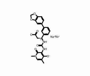 Cc1cn(C)c(=O)c(NC(=O)N[C@@H](CC(=O)[O-])c2cccc(-c3ccc4c(c3)OCO4)c2)c1[O-].[Na+].[Na+]